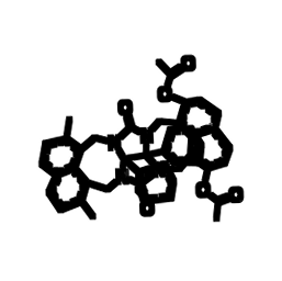 CC(=O)Oc1ccc2ccc(OC(C)=O)c3c2c1CN1C(=O)N2Cc4c(C)ccc5ccc(C)c(c45)CN4C(=O)N(C3)C1(c1ccccc1)C24c1ccccc1